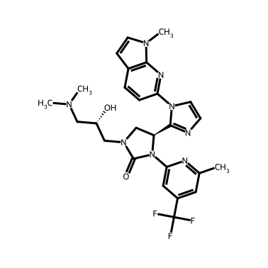 Cc1cc(C(F)(F)F)cc(N2C(=O)N(C[C@@H](O)CN(C)C)C[C@H]2c2nccn2-c2ccc3ccn(C)c3n2)n1